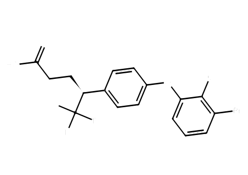 Cc1c(Br)cccc1Oc1ccc([C@H](CCC(=O)O)C(F)(F)F)cc1